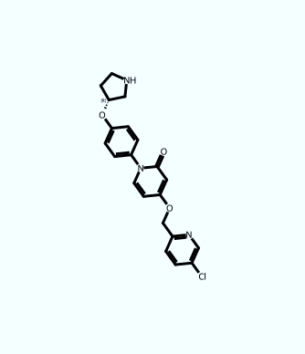 O=c1cc(OCc2ccc(Cl)cn2)ccn1-c1ccc(O[C@@H]2CCNC2)cc1